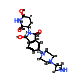 O=C1CCC(N2C(=O)c3ccc(N4CCN(C5CNC5)CC4)cc3C2=O)C(=O)N1